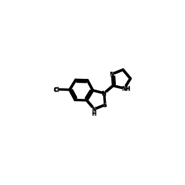 Clc1ccc2c(c1)NSN2C1=NCCN1